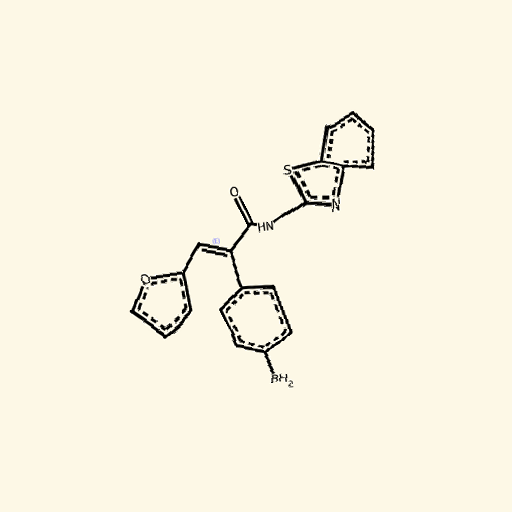 Bc1ccc(/C(=C\c2ccco2)C(=O)Nc2nc3ccccc3s2)cc1